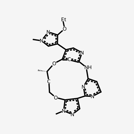 CCOc1nn(C)cc1-c1cnc2cc1O[C@@H](C)CCOc1c(cnn1C)-c1nccc(n1)N2